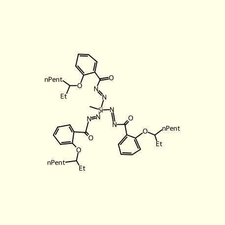 CCCCCC(CC)Oc1ccccc1C(=O)N=N[Si](C)(N=NC(=O)c1ccccc1OC(CC)CCCCC)N=NC(=O)c1ccccc1OC(CC)CCCCC